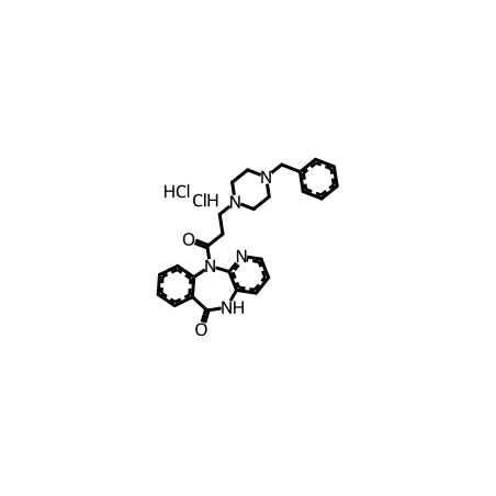 Cl.Cl.O=C1Nc2cccnc2N(C(=O)CCN2CCN(Cc3ccccc3)CC2)c2ccccc21